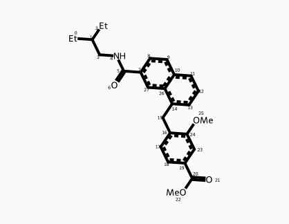 CCC(CC)CNC(=O)c1ccc2cccc(Cc3ccc(C(=O)OC)cc3OC)c2c1